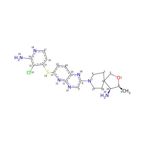 C[C@@H]1OCC2(CCN(c3cnc4nc(Sc5ccnc(N)c5Cl)ccc4n3)CC2)[C@@H]1N